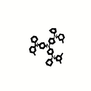 CC1=CC(N(c2ccccc2)c2ccc(N(c3ccc(N(c4ccccc4)c4cccc(C)c4)cc3)c3ccc(N(c4ccccc4)c4cc(C)cc(C)c4)cc3)cc2)CC=C1